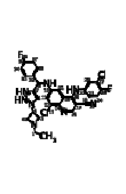 CCN1CC(N2C=C(C(Nc3cc(Cl)c4ncc(C#N)c(Nc5ccc(F)c(Cl)c5)c4c3)c3ccc(F)cc3)NN2)C1